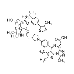 Cc1ncsc1-c1ccc([C@H](C)NC(=O)[C@@H]2C[C@@H](O)CN2C(=O)[C@@H](NC(=O)CC2CCN(c3ccc(C4=N[C@@H](CC(=O)O)c5nnc(C)n5-c5sc(C)c(C)c54)cc3)C2)C(C)(C)C)cc1